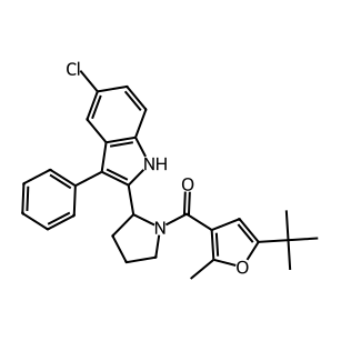 Cc1oc(C(C)(C)C)cc1C(=O)N1CCCC1c1[nH]c2ccc(Cl)cc2c1-c1ccccc1